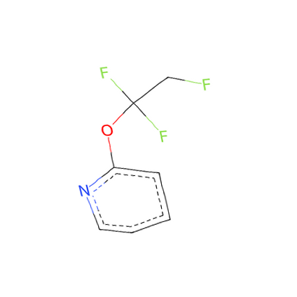 FCC(F)(F)Oc1ccccn1